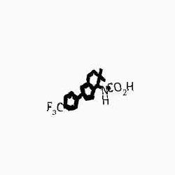 CC1(C)CCc2cc(-c3ccc(C(F)(F)F)cc3)ccc2C1NC(=O)O